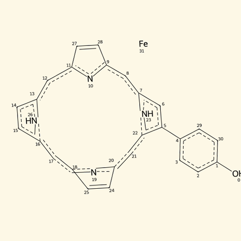 Oc1ccc(-c2cc3cc4nc(cc5ccc(cc6nc(cc2[nH]3)C=C6)[nH]5)C=C4)cc1.[Fe]